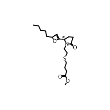 CCCCCC1C=C([C@H]2CCC(=O)N2CCSCCCC(=O)OC)O1